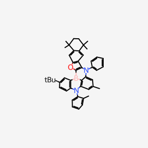 Cc1cc2c3c(c1)N(c1ccccc1)c1c(oc4cc5c(cc14)C(C)(C)CCC5(C)C)B3c1cc(C(C)(C)C)ccc1N2c1ccccc1C